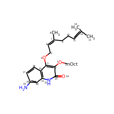 CCCCCCCCOc1c(OCC=C(C)CCC=C(C)C)c2ccc(N)cc2[nH]c1=O